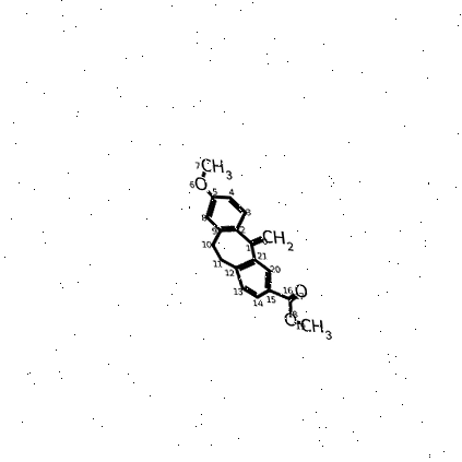 C=C1c2ccc(OC)cc2CCc2ccc(C(=O)OC)cc21